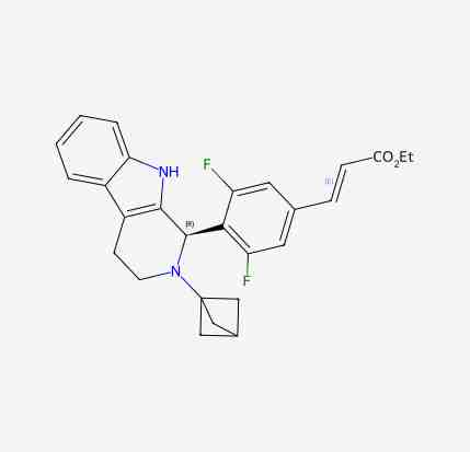 CCOC(=O)/C=C/c1cc(F)c([C@@H]2c3[nH]c4ccccc4c3CCN2C23CC(C2)C3)c(F)c1